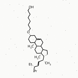 CC[C@H](C=C[C@@H](C)[C@H]1CCC2C3CC=C4C[C@@H](OCCCCCCO)CC[C@]4(C)C3CC[C@@]21C)C(C)C